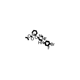 CC(C)OC(=O)N1CCCCC1Oc1cc(Nc2cc(F)c(Br)cc2F)ncn1